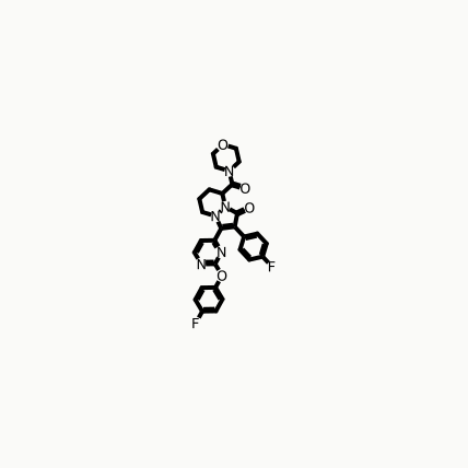 O=C(C1CCCn2c(-c3ccnc(Oc4ccc(F)cc4)n3)c(-c3ccc(F)cc3)c(=O)n21)N1CCOCC1